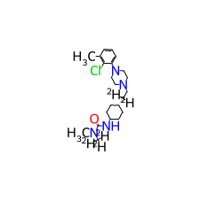 [2H]C([2H])([2H])N(C)C(=O)N[C@H]1CC[C@H](C([2H])([2H])CN2CCN(c3cccc(C)c3Cl)CC2)CC1